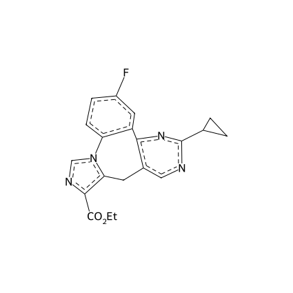 CCOC(=O)c1ncn2c1Cc1cnc(C3CC3)nc1-c1cc(F)ccc1-2